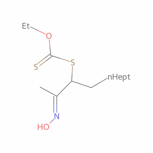 CCCCCCCCC(SC(=S)OCC)C(C)=NO